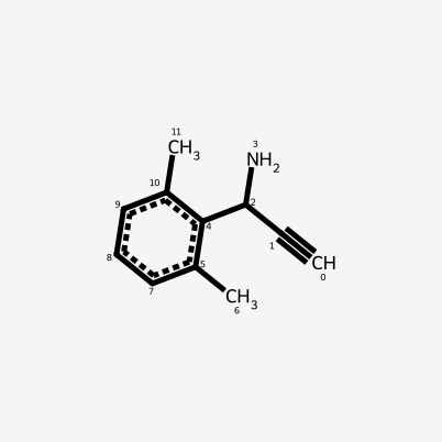 C#CC(N)c1c(C)cccc1C